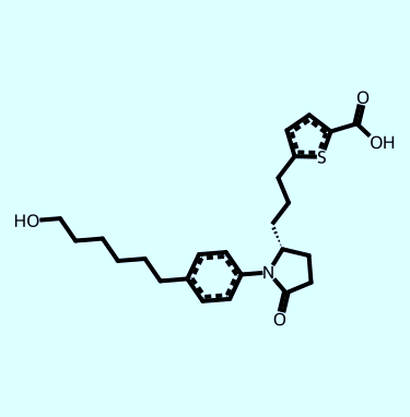 O=C(O)c1ccc(CCC[C@@H]2CCC(=O)N2c2ccc(CCCCCCO)cc2)s1